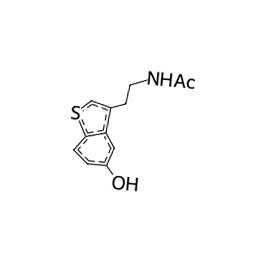 CC(=O)NCCc1csc2ccc(O)cc12